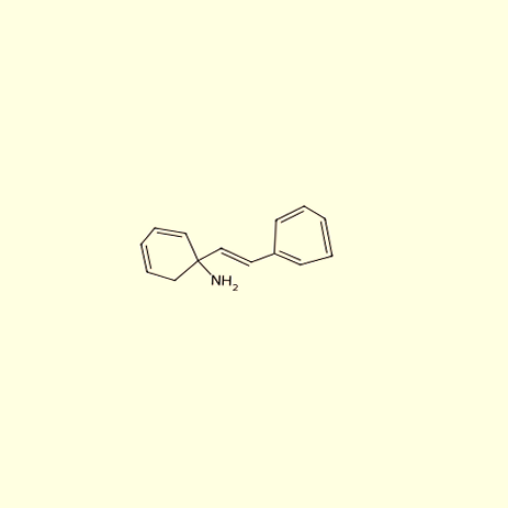 NC1(C=Cc2ccccc2)C=CC=CC1